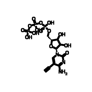 C#Cc1cn([C@@H]2O[C@H](COP(=O)(O)OP(=O)(O)OP(=O)(O)O)C(O)C2O)c(=O)nc1N